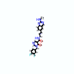 CCNc1ncc2cc(/C=C/CNC(=O)c3cncn(Cc4ccc(F)c(F)c4)c3=O)ccc2n1